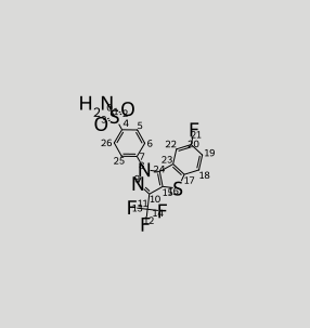 NS(=O)(=O)c1ccc(-n2nc(C(F)(F)F)c3sc4ccc(F)cc4c32)cc1